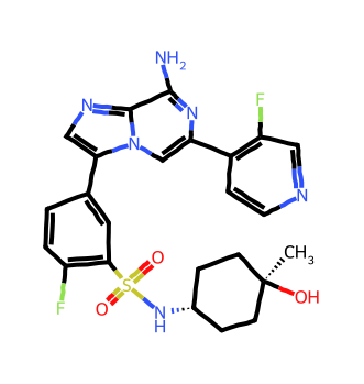 C[C@]1(O)CC[C@H](NS(=O)(=O)c2cc(-c3cnc4c(N)nc(-c5ccncc5F)cn34)ccc2F)CC1